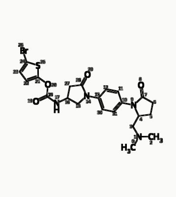 CN(C)CC1CCC(=O)N1c1ccc(N2CC(NC(=O)Oc3ccc(Br)s3)CC2=O)cc1